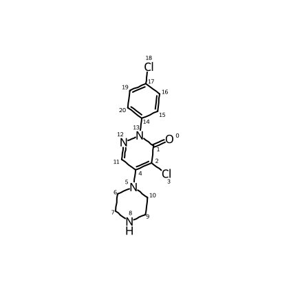 O=c1c(Cl)c(N2CCNCC2)cnn1-c1ccc(Cl)cc1